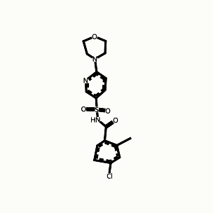 Cc1cc(Cl)ccc1C(=O)NS(=O)(=O)c1ccc(N2CCOCC2)nc1